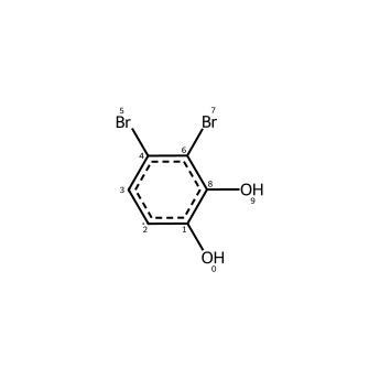 Oc1[c]cc(Br)c(Br)c1O